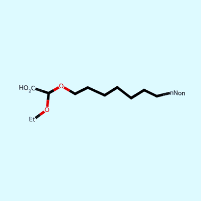 CCCCCCCCCCCCCCCCOC(OCC)C(=O)O